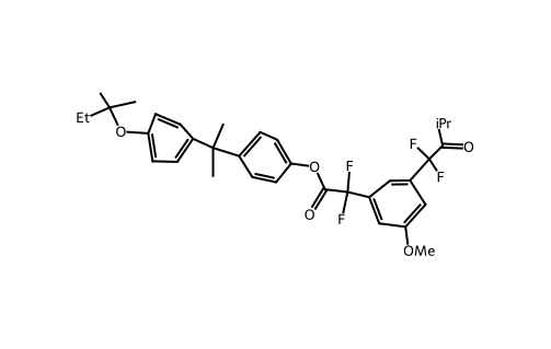 CCC(C)(C)Oc1ccc(C(C)(C)c2ccc(OC(=O)C(F)(F)c3cc(OC)cc(C(F)(F)C(=O)C(C)C)c3)cc2)cc1